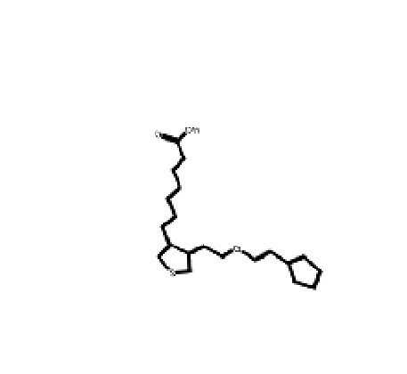 O=C(O)CCCCCCC1CSCC1CCOCCC1CCCC1